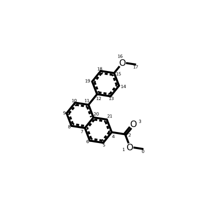 COC(=O)c1ccc2cccc(-c3ccc(OC)cc3)c2c1